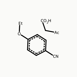 CC(=O)CC(=O)O.CCOc1ccc(C#N)cc1